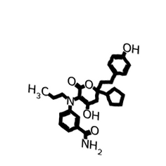 CCCN(C1=C(O)CC(CCc2ccc(O)cc2)(C2CCCC2)OC1=O)c1cccc(C(N)=O)c1